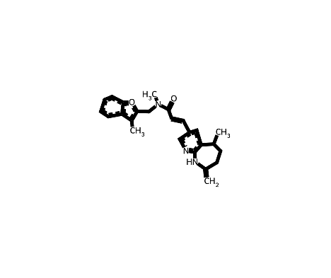 C=C1CCC(C)c2cc(/C=C/C(=O)N(C)Cc3oc4ccccc4c3C)cnc2N1